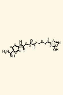 N#CC[C@H](CC(=O)O)NCCCCNC(=O)CCC(=O)Nc1ccc(C(=N)N)cc1